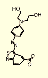 O=[N+]([O-])c1ccc2nsc(N=Nc3ccc(N(CCO)CCO)cc3)c2c1